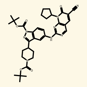 CC(C)(C)OC(=O)N1CCC(c2nn(C(=O)OC(C)(C)C)c3ccc(Nc4ncc5cc(C#N)c(=O)n(C6CCCC6)c5n4)cc23)CC1